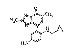 Cn1nc2c(-c3cc(N)ccc3NCC3CC3)cn(C)c(=O)c2n1